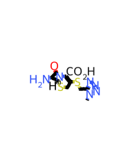 Cn1nnnc1CSC1=C(C(=O)O)N2C(=O)C(N)[C@@H]2SC1